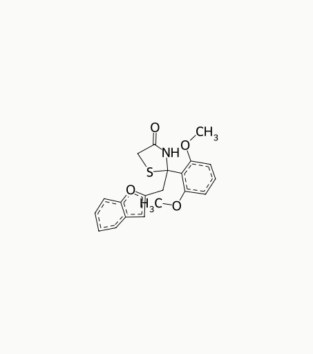 COc1cccc(OC)c1C1(Cc2cc3ccccc3o2)NC(=O)CS1